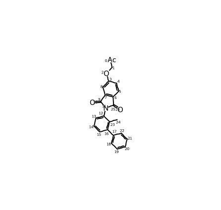 CC(=O)COc1ccc2c(c1)C(=O)N(c1cccc(-c3ccccc3)c1C)C2=O